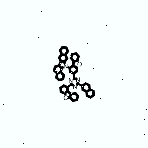 c1ccc2cc(-c3nc(-c4cc(-n5c6cc7ccccc7cc6c6ccc7ccccc7c65)c5c(c4)oc4ccccc45)nc(-c4cccc5oc6ccccc6c45)n3)ccc2c1